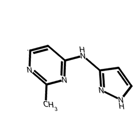 Cc1n[c]cc(Nc2cc[nH]n2)n1